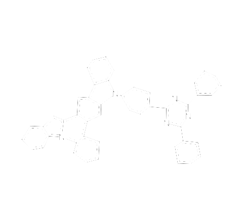 c1ccc(-c2nc(-c3ccccc3)nc(-c3ccc(-n4c5ccccc5c5cc6c(cc54)c4ccccc4n4c5ccccc5cc64)cc3)n2)cc1